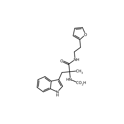 CC(Cc1c[nH]c2ccccc12)(NC(=O)O)C(=O)NCCc1ccco1